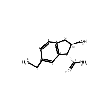 NCc1ccc2c(c1)[C@@H](C(N)=O)[C@H](O)C2